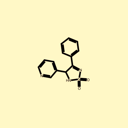 O=S1(=O)N=C(c2ccccc2)C(c2cccnc2)N1